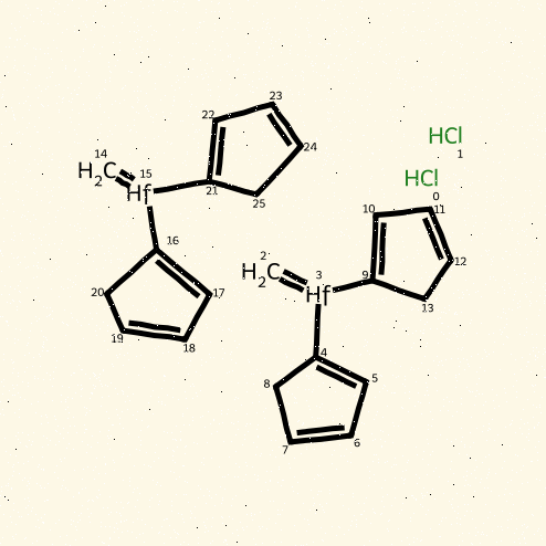 Cl.Cl.[CH2]=[Hf]([C]1=CC=CC1)[C]1=CC=CC1.[CH2]=[Hf]([C]1=CC=CC1)[C]1=CC=CC1